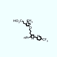 CCCc1nn(-c2ccc(C(F)(F)F)cn2)cc1CCCOc1cc(CCC(=O)O)n(C)n1